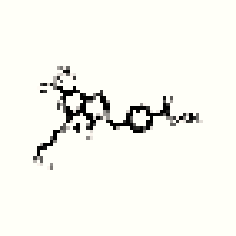 CCCCNc1nc([S+](C)[O-])nc2ncn(Cc3ccc(C(=O)OC)cc3)c(=O)c12